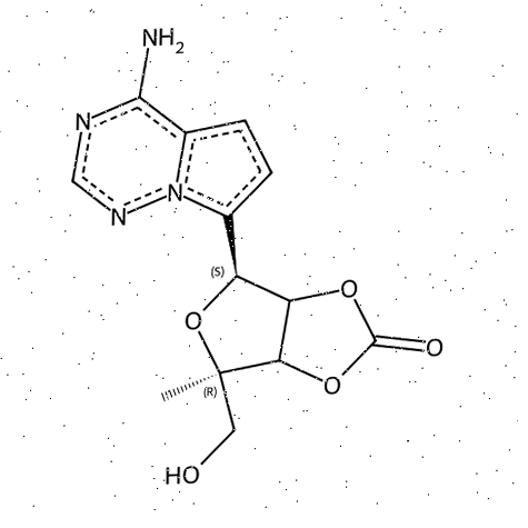 C[C@]1(CO)O[C@@H](c2ccc3c(N)ncnn23)C2OC(=O)OC21